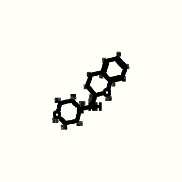 c1ccc2c(c1)CCC(NN1CCOCC1)O2